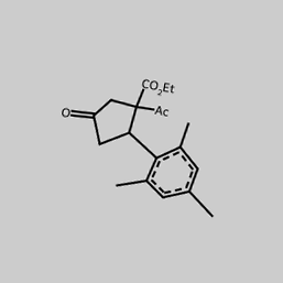 CCOC(=O)C1(C(C)=O)CC(=O)CC1c1c(C)cc(C)cc1C